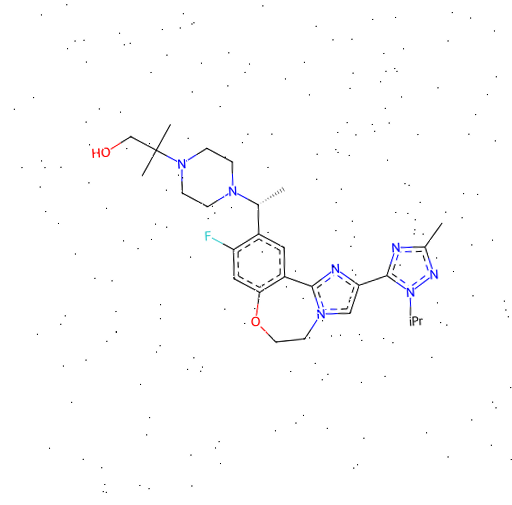 Cc1nc(-c2cn3c(n2)-c2cc([C@@H](C)N4CCN(C(C)(C)CO)CC4)c(F)cc2OCC3)n(C(C)C)n1